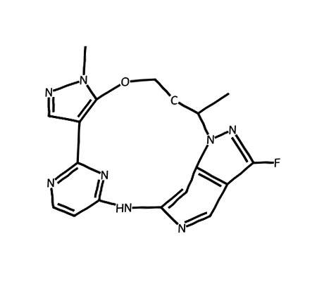 CC1CCOc2c(cnn2C)-c2nccc(n2)Nc2cc3c(cn2)c(F)nn31